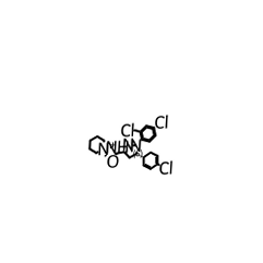 C[N+]1(NC(=O)C2=NN(c3ccc(Cl)cc3Cl)[C@H](C3C=CC(Cl)=CC3)C2)CCCCC1